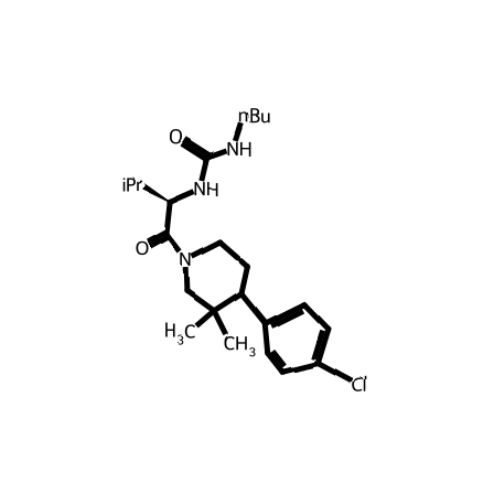 CCCCNC(=O)N[C@@H](C(=O)N1CCC(c2ccc(Cl)cc2)C(C)(C)C1)C(C)C